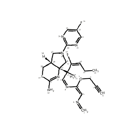 C#CCOC(=C/N=C)/N=C\C(C)(/C(F)=C\CC)[C@]12CN(c3ncc(F)cn3)C[C@H]1CSC(N)=N2